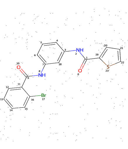 O=C(Nc1cccc(NC(=O)c2ccccc2Br)c1)c1cccs1